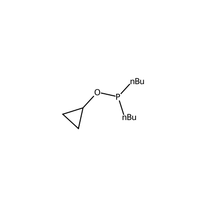 CCCCP(CCCC)OC1CC1